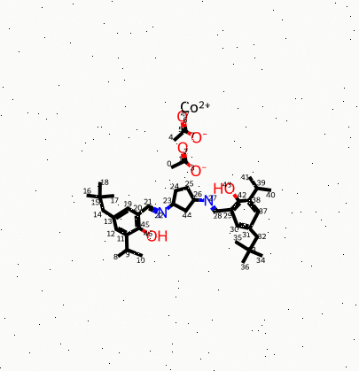 CC(=O)[O-].CC(=O)[O-].CC(C)c1cc(CC(C)(C)C)cc(C=NC2CCC(N=Cc3cc(CC(C)(C)C)cc(C(C)C)c3O)C2)c1O.[Co+2]